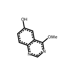 COc1ncnc2ccc(O)cc12